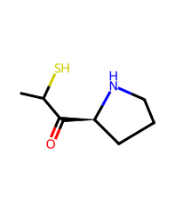 CC(S)C(=O)[C@@H]1CCCN1